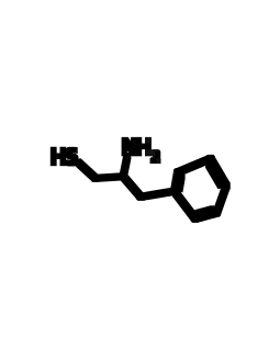 NC(CS)Cc1ccccc1